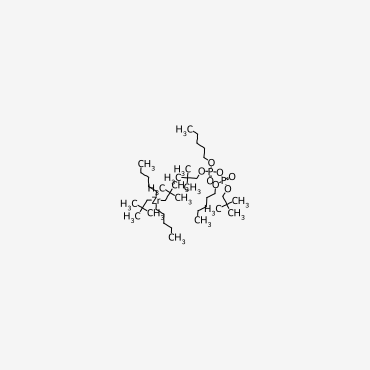 CCCCCOP(=O)(OCC(C)(C)C)OP(=O)(OCCCCC)OCC(C)(C)C.CCCC[CH2][Zr]([CH2]CCCC)([CH2]C(C)(C)C)[CH2]C(C)(C)C